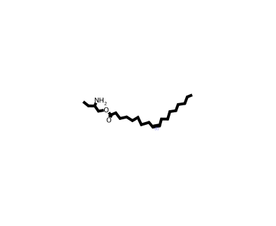 CCCCCCCC/C=C\CCCCCCCC(=O)OCC(N)CC